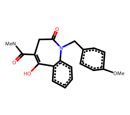 CNC(=O)C1=C(O)c2ccccc2N(Cc2ccc(OC)cc2)C(=O)C1